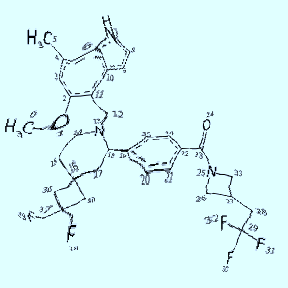 COc1cc(C)c2[nH]ccc2c1CN1CCC2(C[C@@H]1c1ccc(C(=O)N3CC(CC(F)(F)F)C3)cc1)CC(F)(F)C2